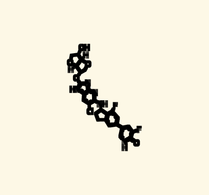 O=c1[nH]cc(-c2cc(F)c3c(c2)CC[C@@H]3Nc2nc3nc(O[C@@H]4CO[C@H]5[C@@H]4OC[C@H]5O)[nH]c3cc2Cl)cc1F